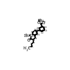 C=CCCC(Cc1cccc(-c2cccc(C(=O)OC(C)(C)C)c2)c1)C(=O)OC(C)(C)C